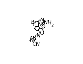 C[C@H](Oc1nc(Br)cnc1N)c1cc(F)ccc1C(=O)N(C)Cc1cc(C#N)n(C)n1